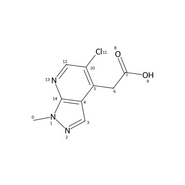 Cn1ncc2c(CC(=O)O)c(Cl)cnc21